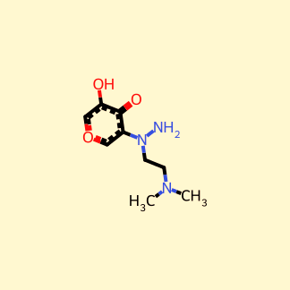 CN(C)CCN(N)c1cocc(O)c1=O